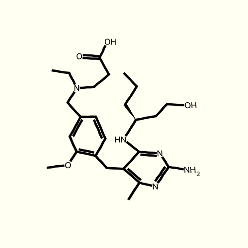 CCC[C@@H](CCO)Nc1nc(N)nc(C)c1Cc1ccc(CN(CC)CCC(=O)O)cc1OC